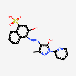 Cc1nn(-c2ccccn2)c(O)c1/N=N/c1c(O)cc(S(=O)(=O)O)c2ccccc12